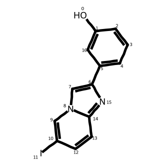 Oc1cccc(-c2cn3cc(I)ccc3n2)c1